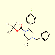 C[C@@H]1CN(C(=O)OC(C)(C)C)[C@H](c2ccc(F)cc2)CN1Cc1ccccc1